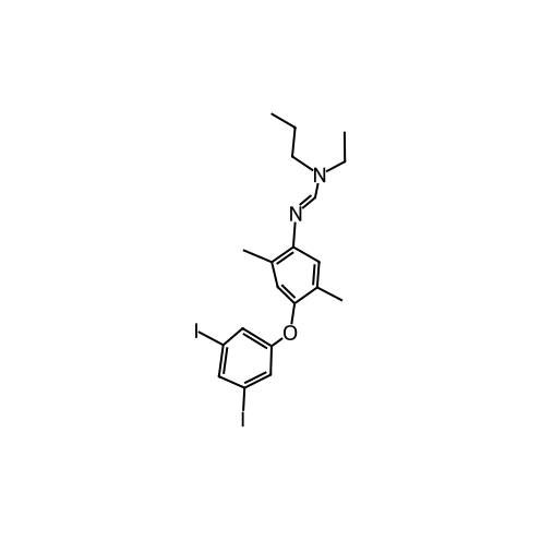 CCCN(C=Nc1cc(C)c(Oc2cc(I)cc(I)c2)cc1C)CC